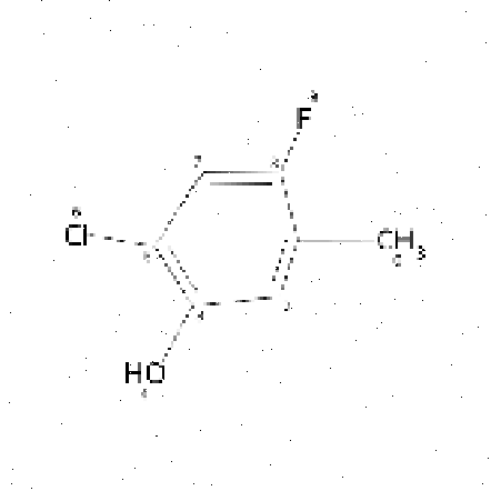 Cc1cc(O)c(Cl)cc1F